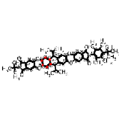 Cc1c(C)c(C(C)(C)C)c(C)c(C)c1-n1c(=O)c2cc3oc4cc5c(cc4oc3cc2c1=O)C1(C(C)C)c2ccccc2C5(C(C)C)c2cc3oc4cc5c(=O)n(C(C)(C)C)c(=O)c5cc4oc3cc21